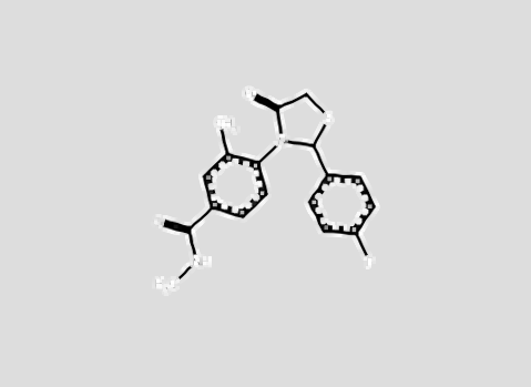 CNC(=O)c1ccc(N2C(=O)CSC2c2ccc(F)cc2)c(C)c1